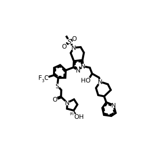 CS(=O)(=O)N1CCc2c(c(-c3ccc(C(F)(F)F)c(SCC(=O)N4CC[C@@H](O)C4)c3)nn2CC(O)CN2CCC(c3ccccn3)CC2)C1